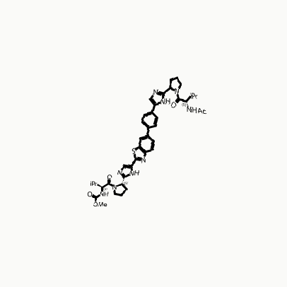 COC(=O)N[C@H](C(=O)N1CCC[C@H]1c1ncc(-c2nc3ccc(-c4ccc(-c5cnc(C6CCCN6C(=O)[C@@H](NC(C)=O)C(C)C)[nH]5)cc4)cc3s2)[nH]1)C(C)C